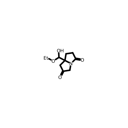 CCOC(O)C12CCC(=O)N1CC(=O)C2